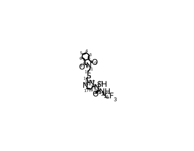 O=C1c2ccccc2C(=O)N1CCSCc1nccc(N(S)C(=O)NCC(F)(F)F)n1